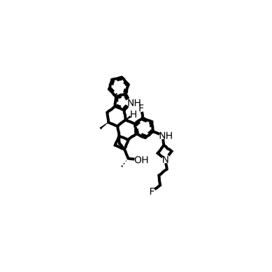 C[C@H]1Cc2c([nH]c3ccccc23)[C@@H]2c3c(F)cc(NC4CN(CCCF)C4)cc3C3C4(CC3([C@@H](C)O)C4)C21